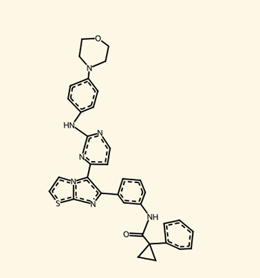 O=C(Nc1cccc(-c2nc3sccn3c2-c2ccnc(Nc3ccc(N4CCOCC4)cc3)n2)c1)C1(c2ccccc2)CC1